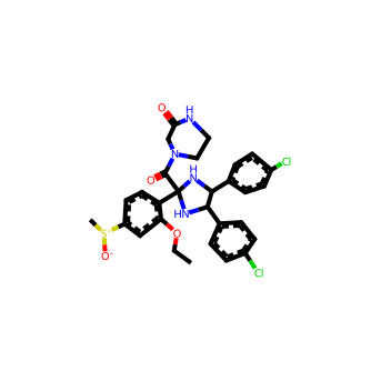 CCOc1cc([S+](C)[O-])ccc1C1(C(=O)N2CCNC(=O)C2)NC(c2ccc(Cl)cc2)C(c2ccc(Cl)cc2)N1